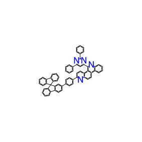 c1ccc(-c2cc(-c3nc4ccccc4c4ccc5nc(-c6ccc(-c7ccc8c(c7)C7(c9ccccc9-c9ccccc97)c7ccccc7-8)cc6)ccc5c34)nc(-c3ccccc3)n2)cc1